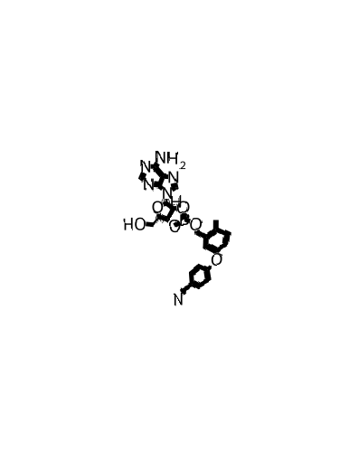 Cc1ccc(Oc2ccc(C#N)cc2)cc1COB1OC2[C@@H](CO)O[C@@H](n3cnc4c(N)ncnc43)[C@H]2O1